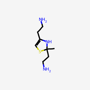 CC1(CCN)NC(CCN)=CS1